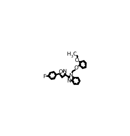 CCOc1ccccc1OCCn1c(-c2cc(-c3ccc(F)cc3)on2)nc2ccccc21